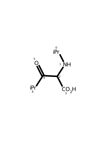 CC(C)NC(C(=O)O)C(=O)C(C)C